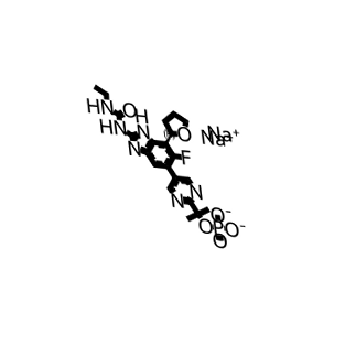 CCNC(=O)Nc1nc2cc(-c3cnc(C(C)(C)OP(=O)([O-])[O-])nc3)c(F)c([C@H]3CCCO3)c2[nH]1.[Na+].[Na+]